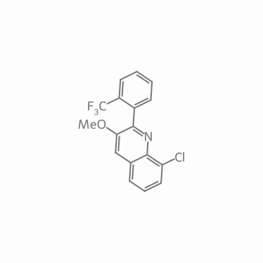 COc1cc2cccc(Cl)c2nc1-c1ccccc1C(F)(F)F